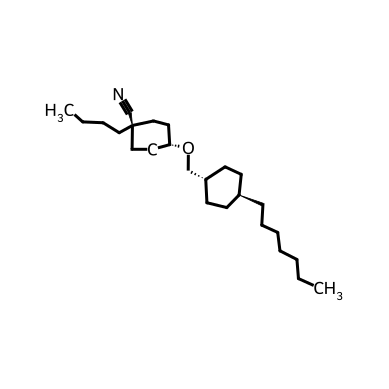 CCCCCCC[C@H]1CC[C@H](CO[C@H]2CC[C@@](C#N)(CCCC)CC2)CC1